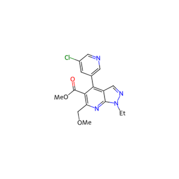 CCn1ncc2c(-c3cncc(Cl)c3)c(C(=O)OC)c(COC)nc21